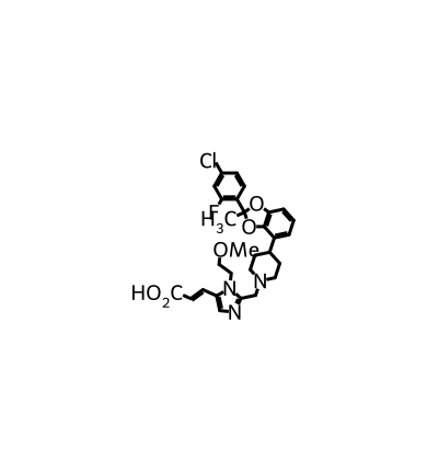 COCCn1c(/C=C/C(=O)O)cnc1CN1CCC(c2cccc3c2OC(C)(c2ccc(Cl)cc2F)O3)CC1